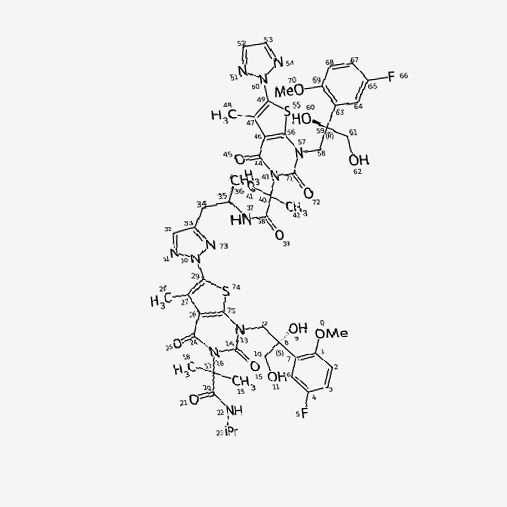 COc1ccc(F)cc1[C@@](O)(CO)Cn1c(=O)n(C(C)(C)C(=O)NC(C)C)c(=O)c2c(C)c(-n3ncc(CC(C)NC(=O)C(C)(C)n4c(=O)c5c(C)c(-n6nccn6)sc5n(C[C@@](O)(CO)c5cc(F)ccc5OC)c4=O)n3)sc21